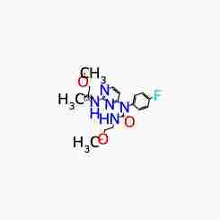 COCCNC(=O)N(c1ccc(F)cc1)c1ccnc(N[C@@H](C)COC)n1